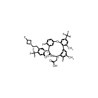 Cc1cc2cc(c1F)[C@@H](CC(=O)O)NC(=O)[C@@H](n1cc(CCN3CC(F)C3)c(C(F)(F)F)cc1=O)c1cc(ccc1F)Oc1cc(C(F)(F)F)cc(C)c1-2